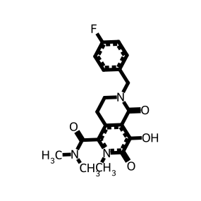 CN(C)C(=O)c1c2c(c(O)c(=O)n1C)C(=O)N(Cc1ccc(F)cc1)CC2